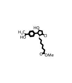 COC(=O)CCCCCC[C@H]1C(Cl)C[C@@H](O)C1c1ccc(C(C)O)cc1